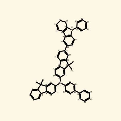 CC1(C)c2ccccc2-c2ccc(N(c3ccc(-c4ccccc4)cc3)c3ccc4c(c3)C(C)(C)c3cc(-c5ccc6c(c5)c5c(n6-c6ccccc6)CCC=C5)ccc3-4)cc21